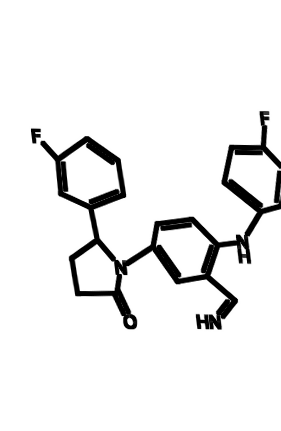 N=Cc1cc(N2C(=O)CCC2c2cccc(F)c2)ccc1Nc1ccc(F)cc1